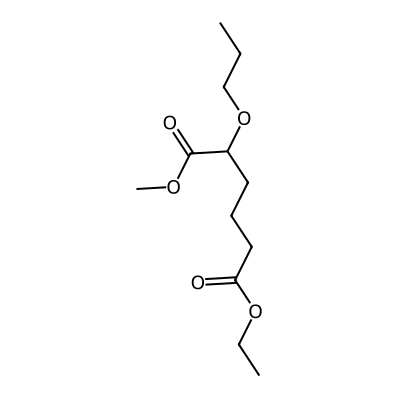 CCCOC(CCCC(=O)OCC)C(=O)OC